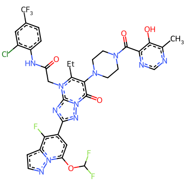 CCc1c(N2CCN(C(=O)c3ncnc(C)c3O)CC2)c(=O)n2nc(-c3cc(OC(F)F)n4nccc4c3F)nc2n1CC(=O)Nc1ccc(C(F)(F)F)cc1Cl